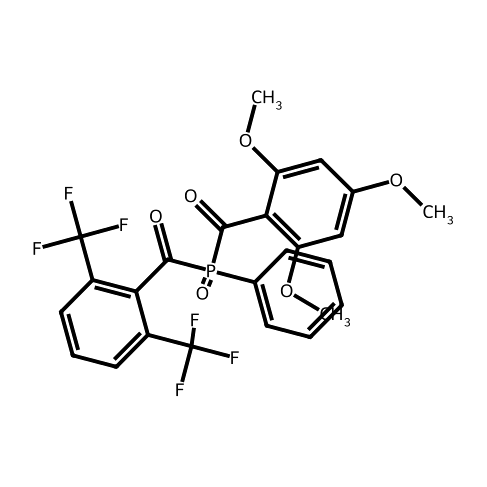 COc1cc(OC)c(C(=O)P(=O)(C(=O)c2c(C(F)(F)F)cccc2C(F)(F)F)c2ccccc2)c(OC)c1